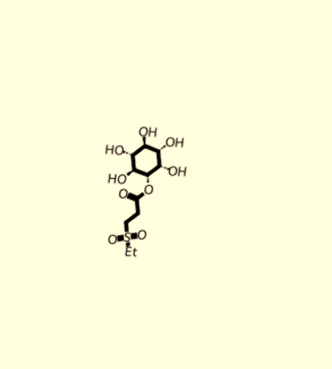 CCS(=O)(=O)CCC(=O)O[C@@H]1[C@@H](O)[C@H](O)[C@@H](O)[C@H](O)[C@@H]1O